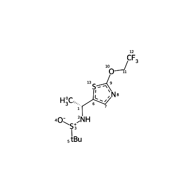 C[C@@H](N[S+]([O-])C(C)(C)C)c1cnc(OCC(F)(F)F)s1